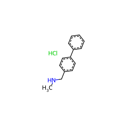 CNCc1ccc(-c2ccccc2)cc1.Cl